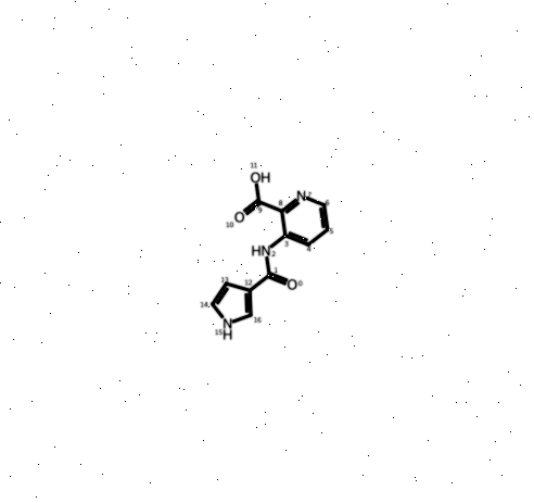 O=C(Nc1cccnc1C(=O)O)c1cc[nH]c1